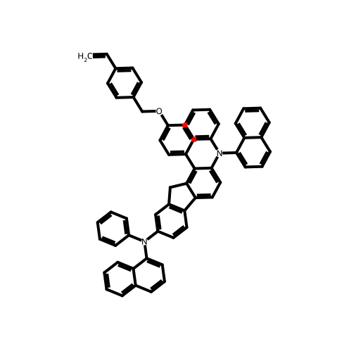 C=Cc1ccc(COc2ccc(-c3c(N(c4ccccc4)c4cccc5ccccc45)ccc4c3Cc3cc(N(c5ccccc5)c5cccc6ccccc56)ccc3-4)cc2)cc1